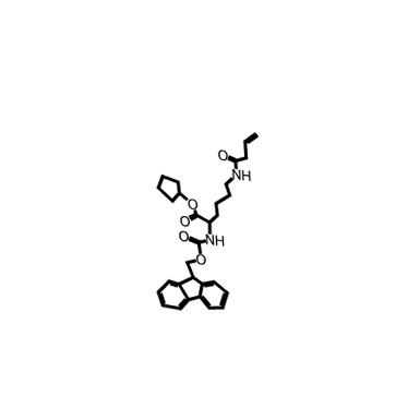 C=CCC(=O)NCCCCC(NC(=O)OCC1c2ccccc2-c2ccccc21)C(=O)OC1CCCC1